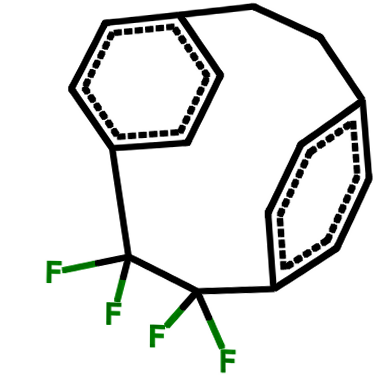 FC1(F)c2ccc(cc2)CCc2ccc(cc2)C1(F)F